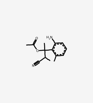 CC(=O)OC(C)(c1c(C)cccc1N)C(C)C#N